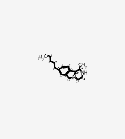 CCCCCc1ccc2c(c1)CN1CCNC(C)C21